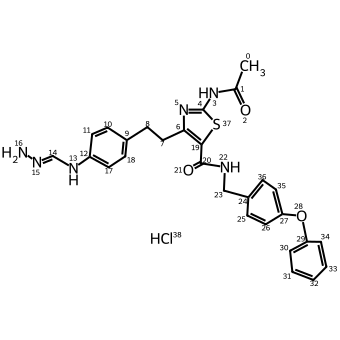 CC(=O)Nc1nc(CCc2ccc(NC=NN)cc2)c(C(=O)NCc2ccc(Oc3ccccc3)cc2)s1.Cl